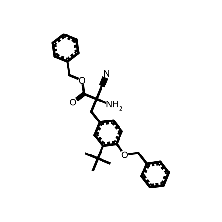 CC(C)(C)c1cc(CC(N)(C#N)C(=O)OCc2ccccc2)ccc1OCc1ccccc1